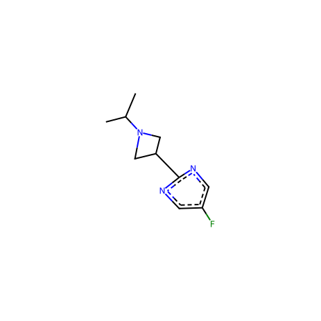 CC(C)N1CC(c2ncc(F)cn2)C1